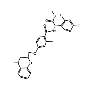 COC(=O)[C@@H](NC(=O)c1ccc(OC[C@@H]2CN(C)c3ccccc3O2)cc1C)c1ccc(Cl)cc1F